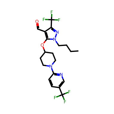 CCCCn1nc(C(F)(F)F)c(C=O)c1OC1CCN(c2ccc(C(F)(F)F)cn2)CC1